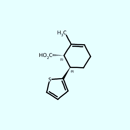 CC1=CCC[C@@H](c2cccs2)[C@@H]1C(=O)O